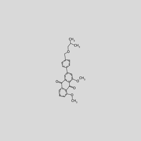 COc1cccc2c1C(=O)c1c(OC)cc(-c3ccc(COCC(C)C)cc3)cc1C2=O